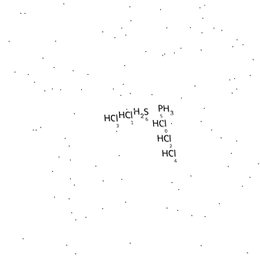 Cl.Cl.Cl.Cl.Cl.P.S